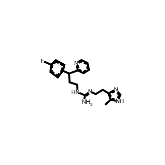 Cc1[nH]cnc1CCN=C(N)NCCC(c1ccc(F)cc1)c1ccccn1